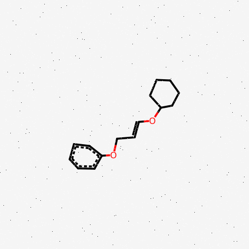 C(=COC1CCCCC1)COc1ccccc1